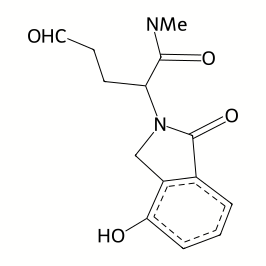 CNC(=O)C(CCC=O)N1Cc2c(O)cccc2C1=O